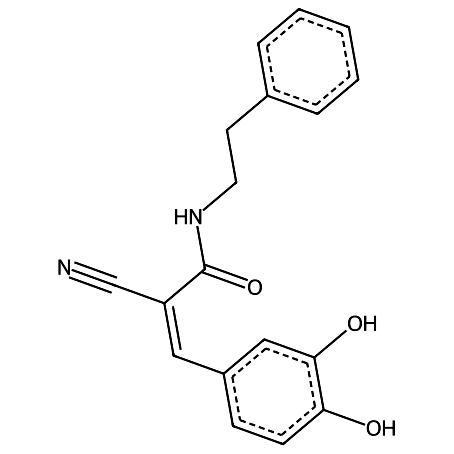 N#CC(=Cc1ccc(O)c(O)c1)C(=O)NCCc1ccccc1